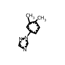 Cc1ccc(-n2cncn2)cc1C